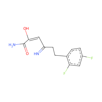 N=C(/C=C(/O)C(N)=O)CCc1ccc(F)cc1F